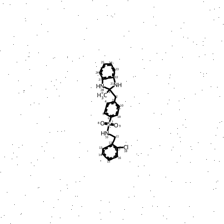 CC1(Cc2ccc(S(=O)(=O)NCc3ccccc3Cl)cc2)Nc2ccccc2N1